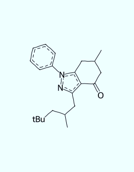 CC1CC(=O)c2c(CC(C)CC(C)(C)C)nn(-c3ccccc3)c2C1